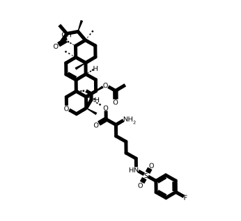 CC(=O)O[C@@H]1C[C@@]23COC[C@](C)([C@@H]2CC[C@H]2C3=CC[C@@]3(C)[C@H](C(=O)O)[C@@](C)([C@H](C)C(C)C)CC[C@]23C)[C@H]1OC(=O)C(N)CCCCNS(=O)(=O)c1ccc(F)cc1